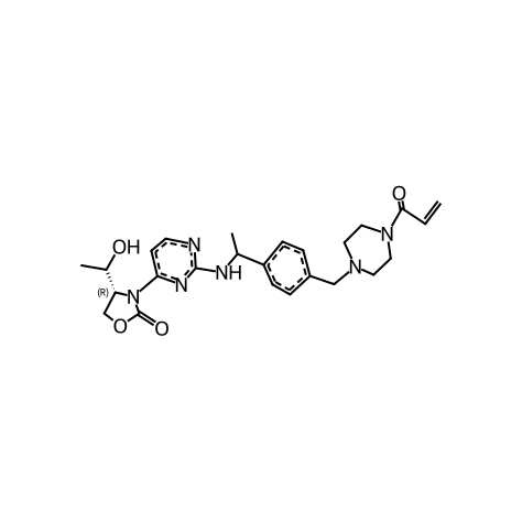 C=CC(=O)N1CCN(Cc2ccc(C(C)Nc3nccc(N4C(=O)OC[C@@H]4C(C)O)n3)cc2)CC1